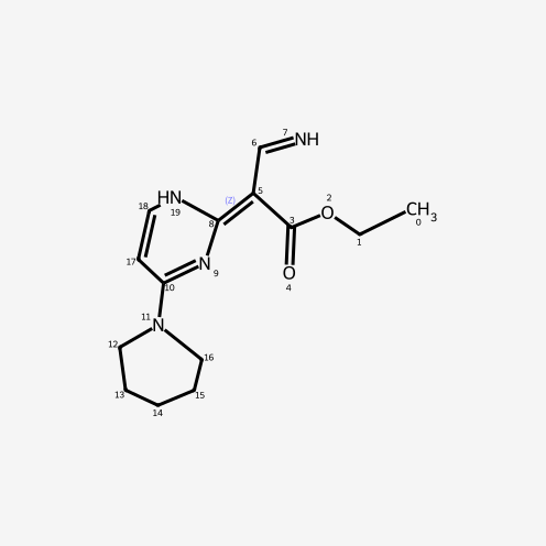 CCOC(=O)/C(C=N)=C1\N=C(N2CCCCC2)C=CN1